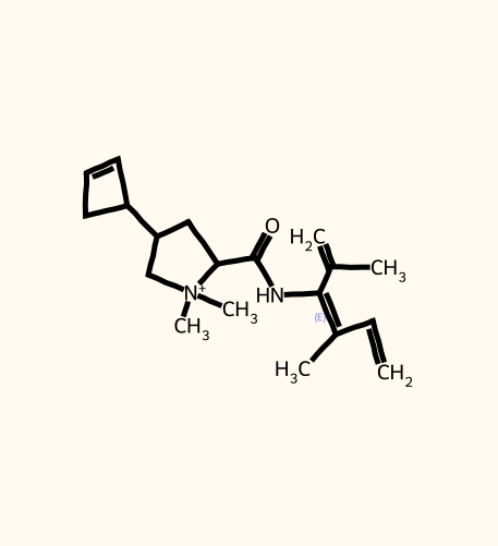 C=C/C(C)=C(/NC(=O)C1CC(C2C=CC2)C[N+]1(C)C)C(=C)C